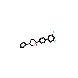 Fc1cc(F)cc(-c2ccc(C3CCC(C4CCCC4)CO3)cc2)c1